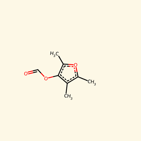 Cc1oc(C)c(OC=O)c1C